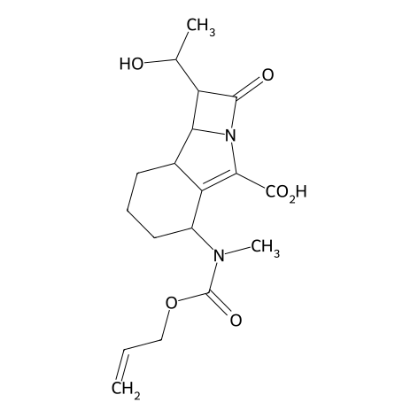 C=CCOC(=O)N(C)C1CCCC2C1=C(C(=O)O)N1C(=O)C(C(C)O)C21